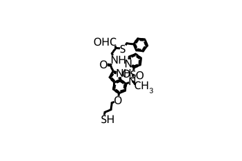 CN(c1cc(OCCCS)cc2cc(C(=O)NCC(C=O)SCc3ccccc3)[nH]c12)S(=O)(=O)c1ccccn1